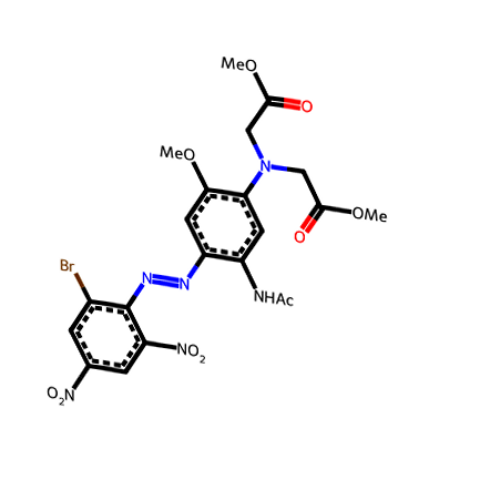 COC(=O)CN(CC(=O)OC)c1cc(NC(C)=O)c(/N=N/c2c(Br)cc([N+](=O)[O-])cc2[N+](=O)[O-])cc1OC